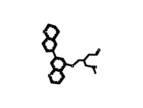 CNCC(CC=O)COc1cc(-c2ccc3ncccc3c2)cc2ncccc12